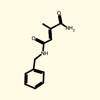 C/C(=C\C(=O)NCc1ccccc1)C(N)=O